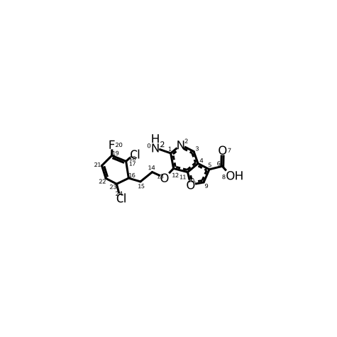 Nc1ncc2c(C(=O)O)coc2c1OCCC1C(Cl)=C(F)C=CC1Cl